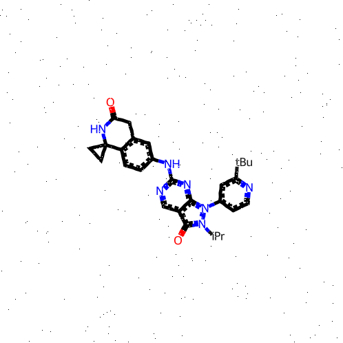 CC(C)n1c(=O)c2cnc(Nc3ccc4c(c3)CC(=O)NC43CC3)nc2n1-c1ccnc(C(C)(C)C)c1